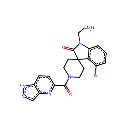 O=C(O)CN1C(=O)C2(CCN(C(=O)c3ccc4[nH]ncc4n3)CC2)c2c(Br)cccc21